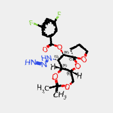 CC1(C)OC[C@H]2O[C@@]3(CCCO3)[C@H](OC(=O)c3cc(F)cc(F)c3)[C@@H](NN=N)[C@H]2O1